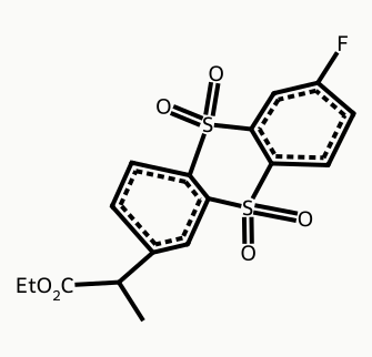 CCOC(=O)C(C)c1ccc2c(c1)S(=O)(=O)c1ccc(F)cc1S2(=O)=O